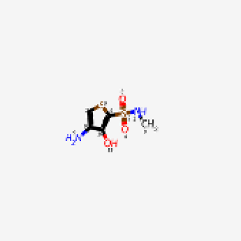 CNS(=O)(=O)c1scc(N)c1O